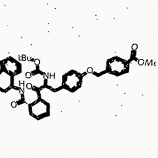 COC(=O)c1ccc(COc2ccc(CC(NC(=O)OC(C)(C)C)C(=O)C3CC=CC[C@@H]3C(=O)NC3CCCc4ccccc43)cc2)cc1